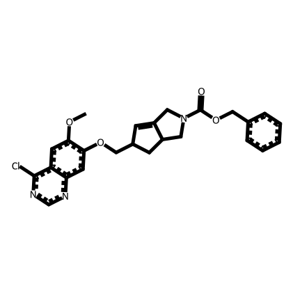 COc1cc2c(Cl)ncnc2cc1OCC1C=C2CN(C(=O)OCc3ccccc3)CC2C1